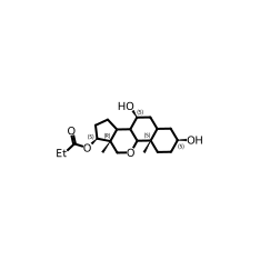 CCC(=O)O[C@H]1CCC2C3C(OC[C@@]21C)[C@@]1(C)CC[C@H](O)CC1C[C@@H]3O